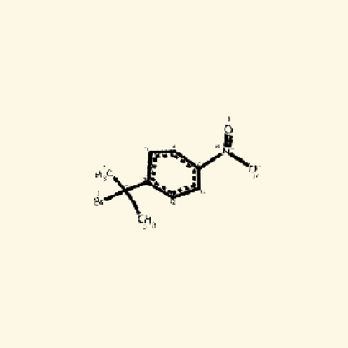 CC(C)(Br)c1ccc([N+](=O)[O-])cc1